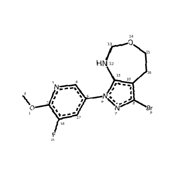 COc1ncc(-n2nc(Br)c3c2NCOCC3)cc1F